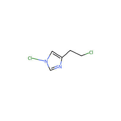 ClCCc1cn(Cl)cn1